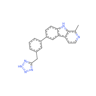 Cc1nccc2c1[nH]c1ccc(-c3cccc(Cc4nn[nH]n4)c3)cc12